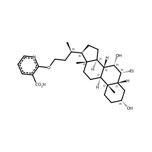 CC[C@H]1[C@@H](O)[C@@H]2[C@H](CC[C@]3(C)[C@@H]([C@H](C)CCOc4ncccc4C(=O)O)CC[C@@H]23)[C@@]2(C)CC[C@@H](O)C[C@@H]12